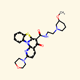 COC1CCCN(CCNC(=O)c2c(=O)c3ccc(N4CCOCC4)nc3n3c2sc2ccccc23)C1